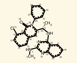 CNc1nc(N[C@@H](C)c2cc3cccc(Cl)c3c(=O)n2-c2ccccc2)c2ccccc2n1